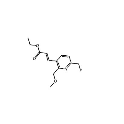 CCOC(=O)/C=C/c1ccc(CF)nc1COC